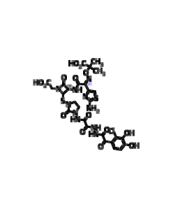 CC(C)(O/N=C(\C(=O)N[C@@H]1C(=O)N(CC(=O)O)C1SN1CCN(NC(=O)C(=O)NNC(=O)C(=O)c2ccc(O)c(O)c2Cl)C1=O)c1csc(N)n1)C(=O)O